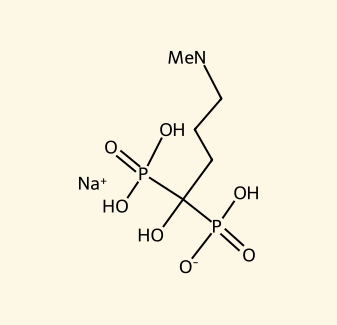 CNCCCC(O)(P(=O)([O-])O)P(=O)(O)O.[Na+]